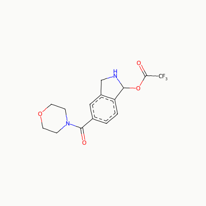 O=C(c1ccc2c(c1)CNC2OC(=O)C(F)(F)F)N1CCOCC1